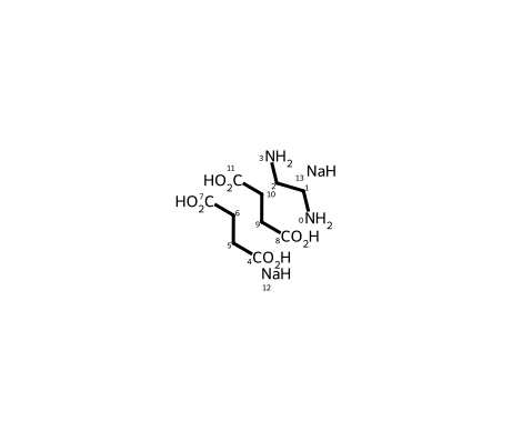 NCCN.O=C(O)CCC(=O)O.O=C(O)CCC(=O)O.[NaH].[NaH]